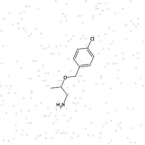 CC(CN)OCc1ccc(Cl)cc1